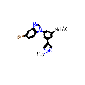 CC(=O)Nc1cc(-c2cnn(C)c2)cc(-n2cnc3cc(Br)ccc32)c1